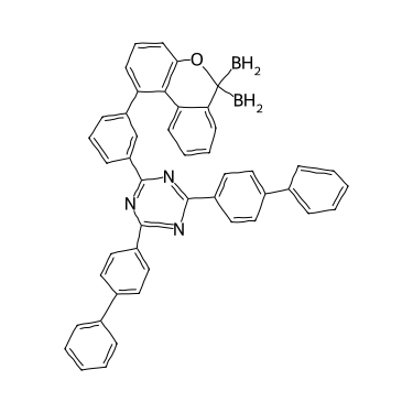 BC1(B)Oc2cccc(-c3cccc(-c4nc(-c5ccc(-c6ccccc6)cc5)nc(-c5ccc(-c6ccccc6)cc5)n4)c3)c2-c2ccccc21